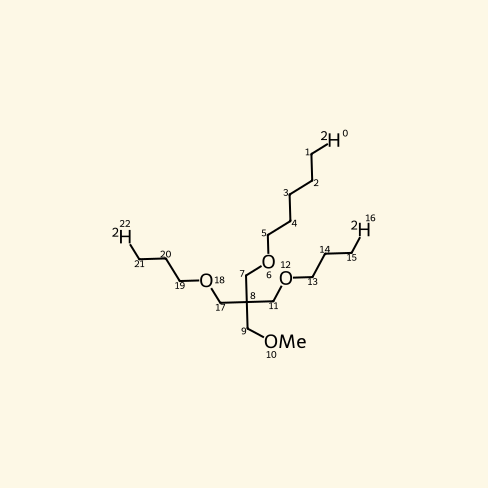 [2H]CCCCCOCC(COC)(COCCC[2H])COCCC[2H]